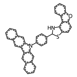 c1ccc2cc3c(cc2c1)c1cc2ccccc2cc1n3-c1ccc(C2Nc3c(ccc4oc5ccccc5c34)S2)cc1